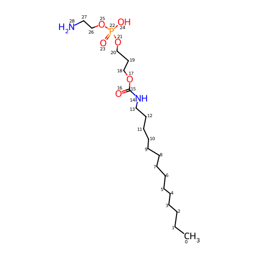 CCCCCCCCCCCCCCNC(=O)OCCCOP(=O)(O)OCCN